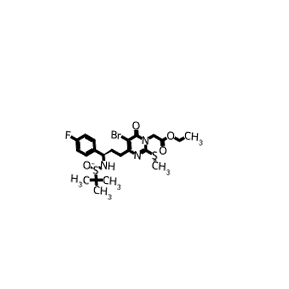 CCOC(=O)Cn1c(SC)nc(CC[C@@H](N[S@+]([O-])C(C)(C)C)c2ccc(F)cc2)c(Br)c1=O